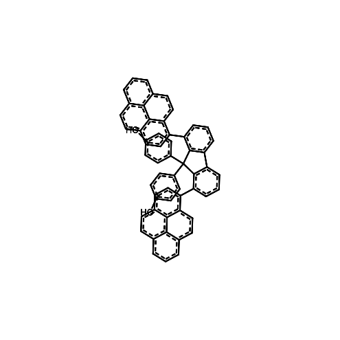 Oc1ccc(C2(c3ccc(O)cc3)c3c(cccc3-c3ccc4ccc5cccc6ccc3c4c56)-c3cccc(-c4ccc5ccc6cccc7ccc4c5c67)c32)cc1